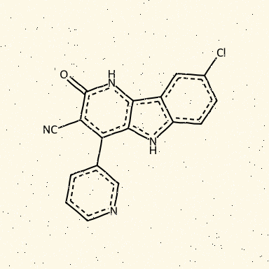 N#Cc1c(-c2cccnc2)c2[nH]c3ccc(Cl)cc3c2[nH]c1=O